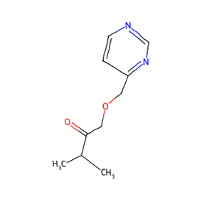 CC(C)C(=O)COCc1ccncn1